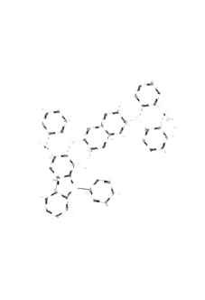 Cc1cc2cc(N3c4ccccc4C(C)(C)c4cc5c6ccccc6n(-c6ccccc6)c5cc43)c(C)cc2cc1N1c2ccccc2C(C)(C)c2ccccc21